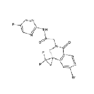 O=C(CN1C[C@@]2(CC2(F)F)c2cc(Br)ccc2C1=O)Nc1ncc(F)cn1